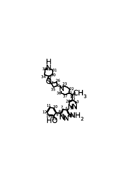 C[C@@H](c1cnn(-c2cc(-c3ccccc3O)nnc2N)c1)C1CCN([C@H]2C[C@H](OC3CCNCC3)C2)CC1